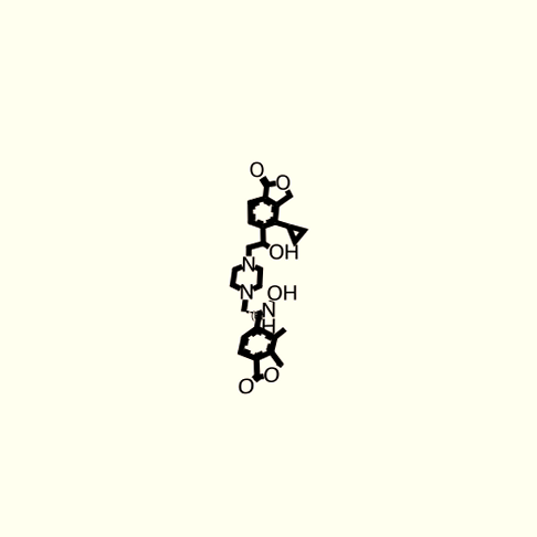 Cc1c([C@H](CN2CCN(CC(O)c3ccc4c(c3C3CC3)COC4=O)CC2)NO)ccc2c1COC2=O